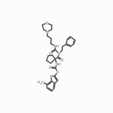 Cc1cccc2cc(OC(=O)NC3(C(=O)N(CCc4ccccc4)C(=O)NCCCN4CCOCC4)CCCC3)sc12